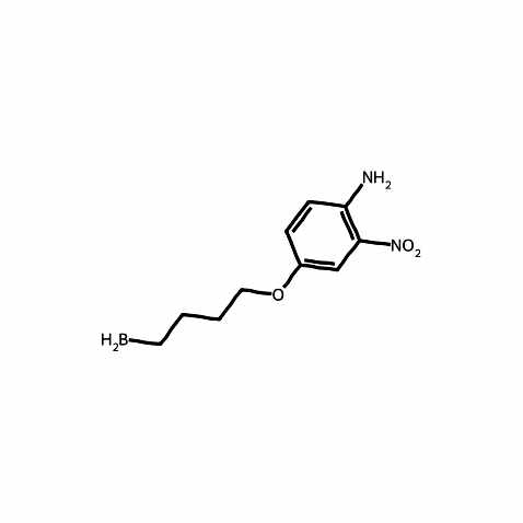 BCCCCOc1ccc(N)c([N+](=O)[O-])c1